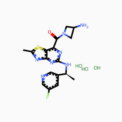 Cc1nc2nc(N[C@@H](C)c3cncc(F)c3)nc(C(=O)N3CC(N)C3)c2s1.Cl.Cl.Cl